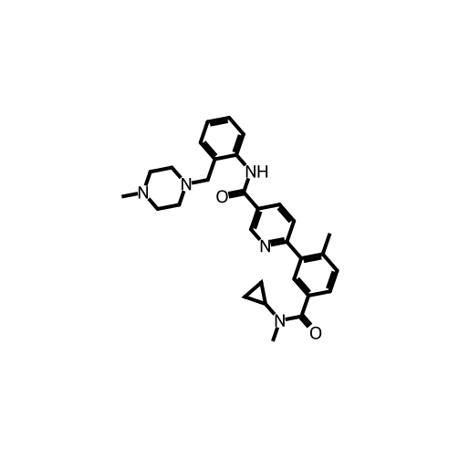 Cc1ccc(C(=O)N(C)C2CC2)cc1-c1ccc(C(=O)Nc2ccccc2CN2CCN(C)CC2)cn1